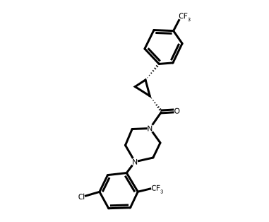 O=C([C@@H]1C[C@@H]1c1ccc(C(F)(F)F)cc1)N1CCN(c2cc(Cl)ccc2C(F)(F)F)CC1